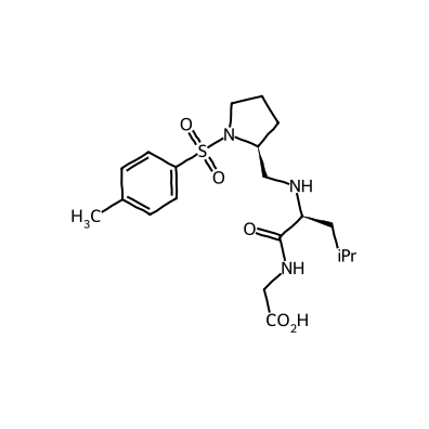 Cc1ccc(S(=O)(=O)N2CCC[C@H]2CN[C@@H](CC(C)C)C(=O)NCC(=O)O)cc1